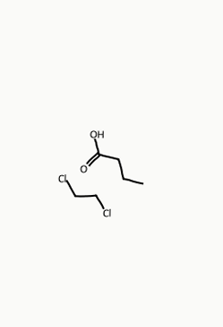 CCCC(=O)O.ClCCCl